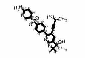 C[C@H](O)C#Cc1cc([C@](C)(O)C(F)(F)F)cnc1-c1ccc(S(=O)(=O)c2ccc(N)nc2)cc1